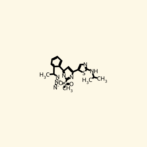 CC(C)Nc1ncc(-c2cc(-c3ccccc3C(C)N=[N+]=[N-])nc(S(C)(=O)=O)n2)s1